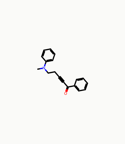 CN(CCC#CC(=O)c1ccccc1)c1ccccc1